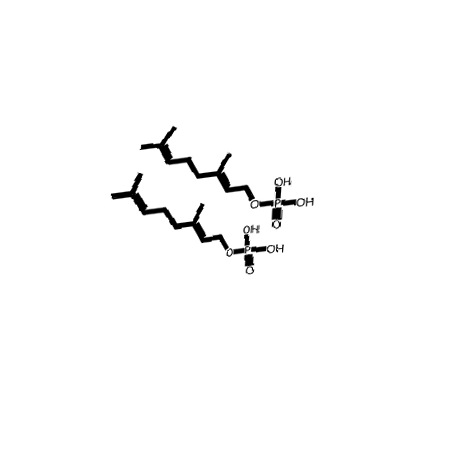 CC(C)=CCC/C(C)=C/COP(=O)(O)O.CC(C)=CCC/C(C)=C/COP(=O)(O)O